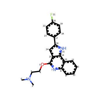 CN(C)CCOc1nc2ccccc2c2[nH]c(-c3ccc(F)cc3)cc12